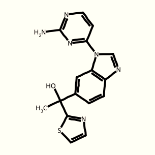 CC(O)(c1ccc2ncn(-c3ccnc(N)n3)c2c1)c1nccs1